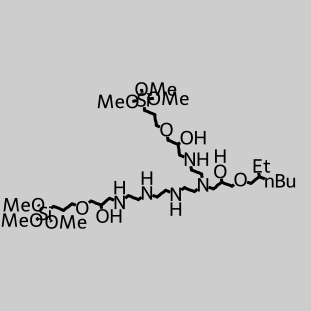 CCCCC(CC)COCC(O)CN(CCNCCNCCNCC(O)COCCC[Si](OC)(OC)OC)CCNCC(O)COCCC[Si](OC)(OC)OC